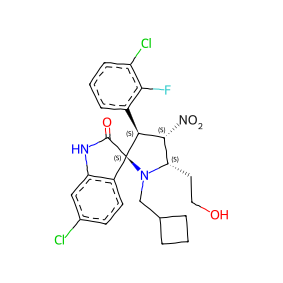 O=C1Nc2cc(Cl)ccc2[C@@]12[C@@H](c1cccc(Cl)c1F)[C@H]([N+](=O)[O-])[C@H](CCO)N2CC1CCC1